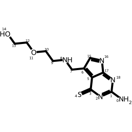 NC1=NC(=S)C2=C(CNCCOCCO)C=NC2=N1